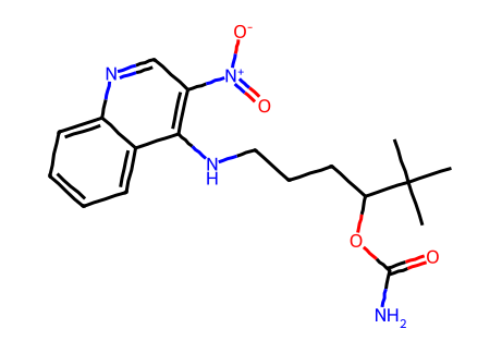 CC(C)(C)C(CCCNc1c([N+](=O)[O-])cnc2ccccc12)OC(N)=O